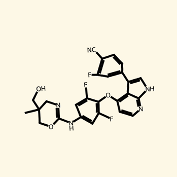 CC1(CO)CN=C(Nc2cc(F)c(Oc3ccnc4[nH]cc(-c5ccc(C#N)c(F)c5)c34)c(F)c2)OC1